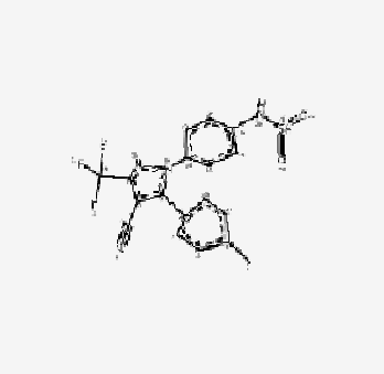 Cc1ccc(-c2c(C#N)c(C(F)(F)F)nn2-c2ccc(N[SH](=O)=O)cc2)cc1